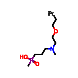 CC(C)CCOCCN(C)CCCP(C)(=O)O